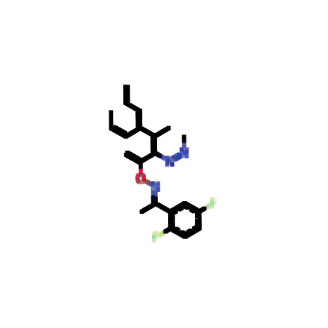 C=C/C=C(\C=C/C)C(/C)=C(/N=N\C)C(=C)O/N=C(\C)c1cc(F)ccc1F